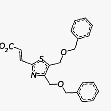 O=C(O)C=Cc1nc(COCc2ccccc2)c(COCc2ccccc2)s1